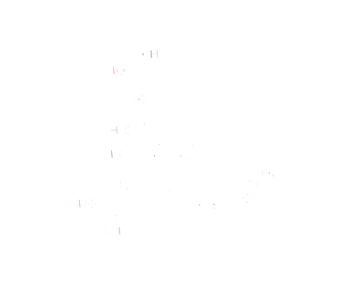 Cc1cc(C2(c3ccc(OCC(C)O)c(C)c3)c3ccccc3-c3ccccc32)ccc1OCC(C)O.O=C1C=CO1